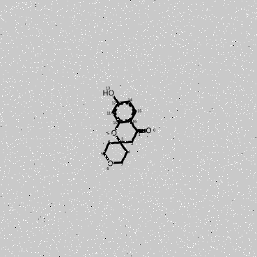 O=C1CC2(CCOCC2)Oc2cc(O)ccc21